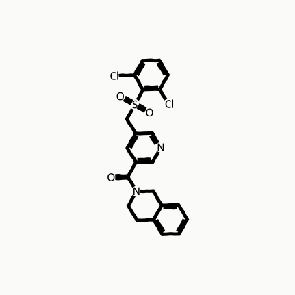 O=C(c1cncc(CS(=O)(=O)c2c(Cl)cccc2Cl)c1)N1CCc2ccccc2C1